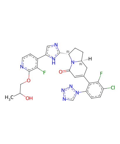 CC(O)COc1nccc(-c2cnc([C@@H]3CC[C@H]4CC(c5c(-n6cnnn6)ccc(Cl)c5F)=CC(=O)N43)[nH]2)c1F